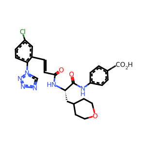 O=C(/C=C/c1cc(Cl)ccc1-n1cnnn1)N[C@@H](CC1CCOCC1)C(=O)Nc1ccc(C(=O)O)cc1